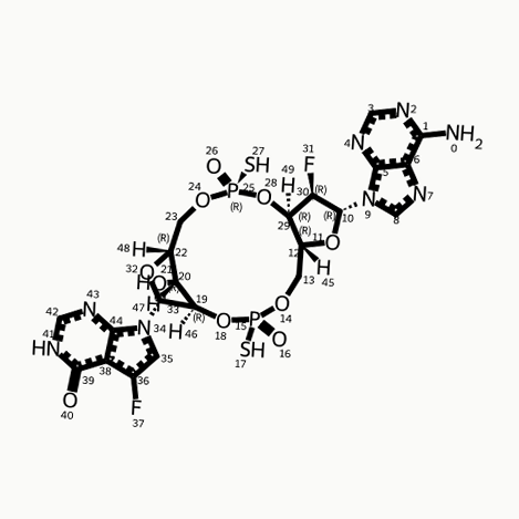 Nc1ncnc2c1ncn2[C@@H]1O[C@@H]2COP(=O)(S)O[C@@H]3[C@H](O)[C@@H](CO[P@@](=O)(S)O[C@H]2[C@H]1F)O[C@H]3n1cc(F)c2c(=O)[nH]cnc21